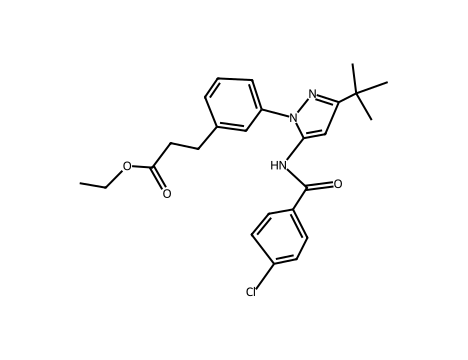 CCOC(=O)CCc1cccc(-n2nc(C(C)(C)C)cc2NC(=O)c2ccc(Cl)cc2)c1